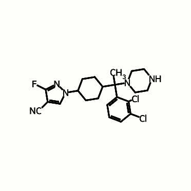 CC(c1cccc(Cl)c1Cl)(C1CCC(n2cc(C#N)c(F)n2)CC1)N1CCNCC1